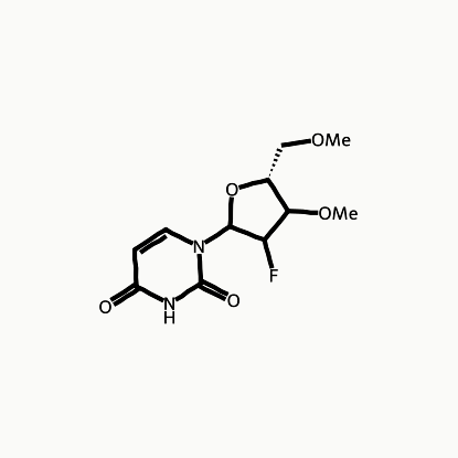 COC[C@H]1OC(n2ccc(=O)[nH]c2=O)C(F)C1OC